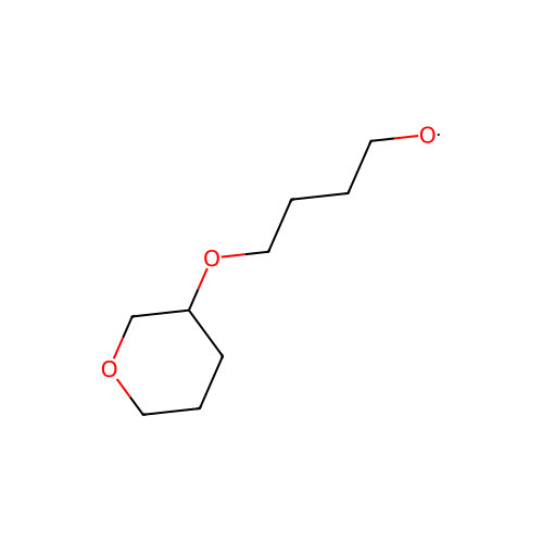 [O]CCCCOC1CCCOC1